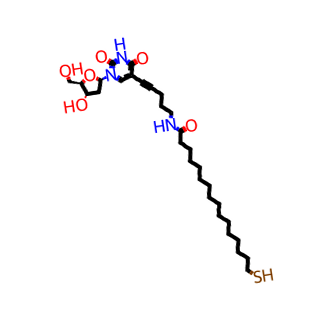 O=C(CCCCCCCCCCCCCCCS)NCCCC#Cc1cn([C@H]2C[C@H](O)[C@@H](CO)O2)c(=O)[nH]c1=O